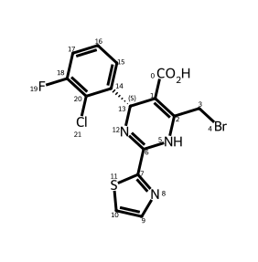 O=C(O)C1=C(CBr)NC(c2nccs2)=N[C@@H]1c1cccc(F)c1Cl